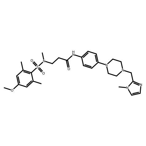 COc1cc(C)c(S(=O)(=O)N(C)CCC(=O)Nc2ccc(N3CCN(Cc4nccn4C)CC3)cc2)c(C)c1